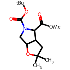 COC(=O)C1C2CC(C)(C)OC2CN1C(=O)OC(C)(C)C